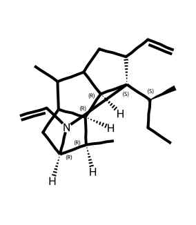 C=CC1CC2C(C)C3C[C@@H]4[C@H](C)[C@@H]3[C@@H]2[C@@]1([C@@H](C)CC)N4C=C